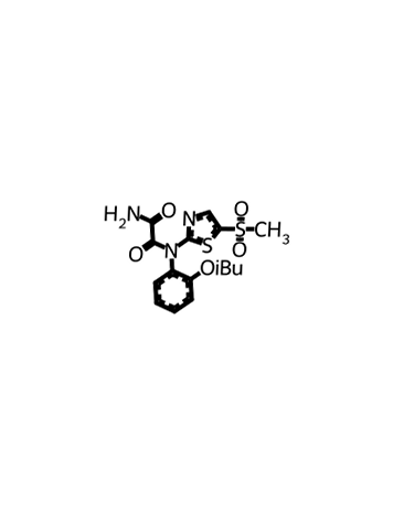 CC(C)COc1ccccc1N(C(=O)C(N)=O)c1ncc(S(C)(=O)=O)s1